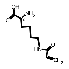 C=CC(=O)NCCCC[C@H](N)C(=O)O